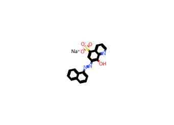 O=S(=O)([O-])c1cc(N=Nc2cccc3ccccc23)c(O)c2ncccc12.[Na+]